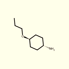 CCCO[C@H]1CC[C@H](N)CC1